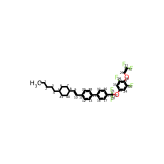 CCCCCC1CCC(/C=C/c2ccc(-c3ccc(C(F)(F)Oc4cc(F)c(OC=C(F)F)c(F)c4)cc3)cc2)CC1